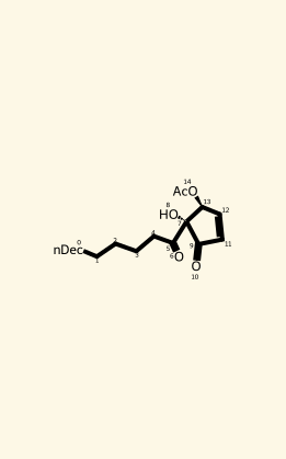 CCCCCCCCCCCCCCC(=O)[C@]1(O)C(=O)C=C[C@@H]1OC(C)=O